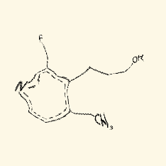 Cc1ccnc(F)c1CCO